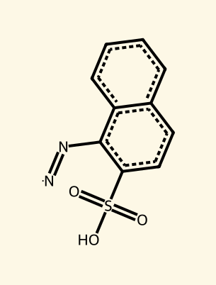 [N]=Nc1c(S(=O)(=O)O)ccc2ccccc12